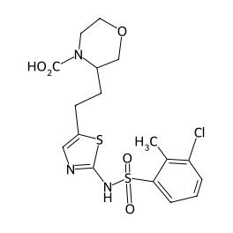 Cc1c(Cl)cccc1S(=O)(=O)Nc1ncc(CCC2COCCN2C(=O)O)s1